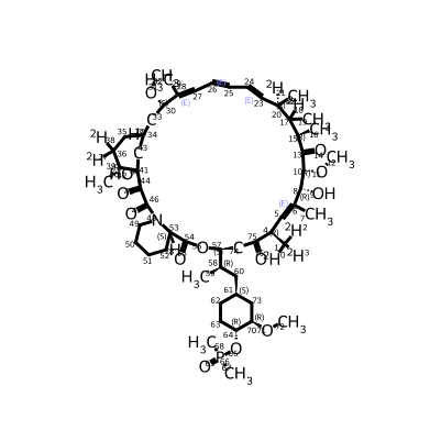 [2H]C([2H])([2H])[C@@H]1/C=C(\C)[C@@H](O)[C@@H](OC)C(=O)[C@H](C)C([2H])(C)[C@]([2H])(C)/C=C/C=C/C=C(\C)[C@@H](OC)C[C@@H]2CC([2H])([2H])[C@@H](C)[C@@](O)(C2)C(=O)C(=O)N2CCCC[C@H]2C(=O)O[C@H]([C@H](C)C[C@@H]2CC[C@@H](OP(C)(C)=O)[C@H](OC)C2)CC1=O